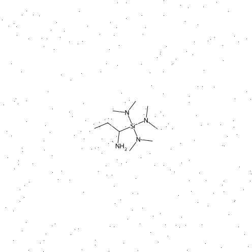 CCC(N)[Si](N(C)C)(N(C)C)N(C)C